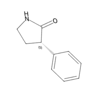 O=C1NCC[C@H]1c1ccccc1